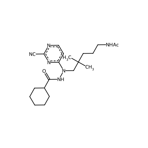 CC(=O)NCCCC(C)(C)CN(NC(=O)C1CCCCC1)c1ccnc(C#N)n1